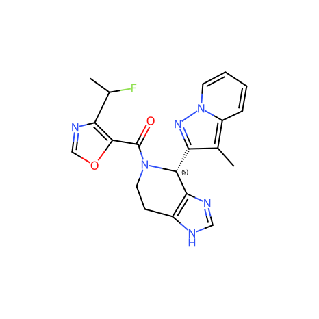 Cc1c([C@@H]2c3nc[nH]c3CCN2C(=O)c2ocnc2C(C)F)nn2ccccc12